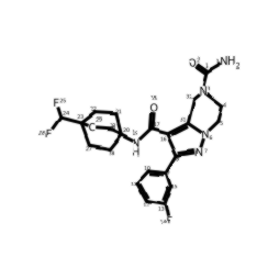 NC(=O)N1CCn2nc(-c3cccc(F)c3)c(C(=O)NC34CCC(C(F)F)(CC3)CC4)c2C1